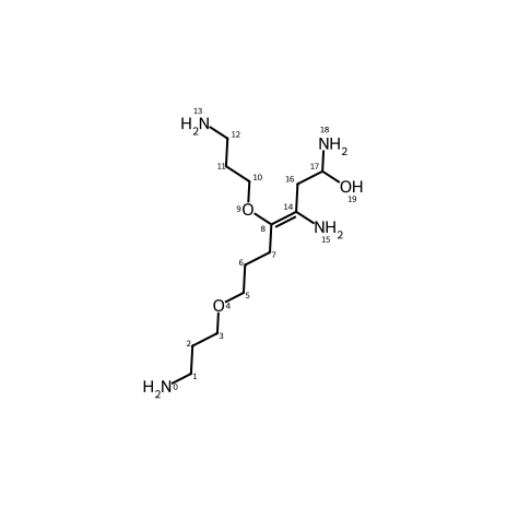 NCCCOCCCC(OCCCN)=C(N)CC(N)O